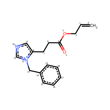 C=CCOC(=O)CCc1cncn1Cc1ccccc1